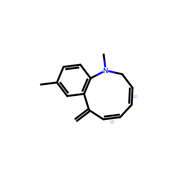 C=C1/C=C\C=C/CN(C)c2ccc(C)cc21